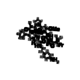 CC[C@H](C)[C@@H]([C@@H](CC(=O)N1CCC[C@H]1[C@H](OC)[C@H](C)C(=O)NC(C[SH]1C=NC(C(=O)NCCc2ccc(N)cc2)=C1)c1ccccc1)OC)N(C)C(=O)[C@@H](NC(=O)[C@H](C(C)C)N(C)C)C(C)C